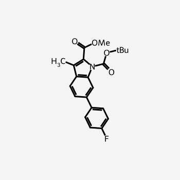 COC(=O)c1c(C)c2ccc(-c3ccc(F)cc3)cc2n1C(=O)OC(C)(C)C